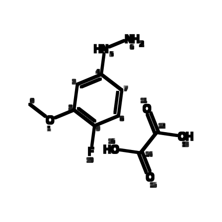 COc1cc(NN)ccc1F.O=C(O)C(=O)O